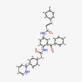 Cc1ccc(/C=C/C(=O)Nc2ccc(NC(=O)Cc3ccc(B4C=CC=CN4)cc3)c(C(=O)c3ccccc3)c2)cc1